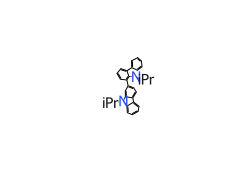 CC(C)n1c2ccccc2c2ccc(-c3cccc4c5ccccc5n(C(C)C)c34)cc21